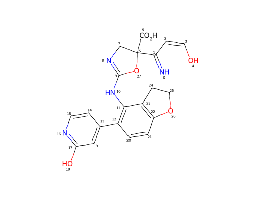 N=C(/C=C\O)C1(C(=O)O)CN=C(Nc2c(-c3ccnc(O)c3)ccc3c2CCO3)O1